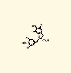 O=C(O)[C@H](Cc1cc(Br)c(O)c(Br)c1)NCc1cc(Br)c(O)c(Br)c1